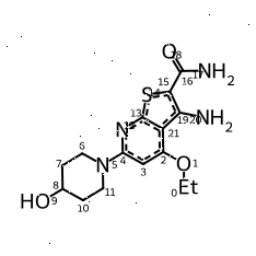 CCOc1cc(N2CCC(O)CC2)nc2sc(C(N)=O)c(N)c12